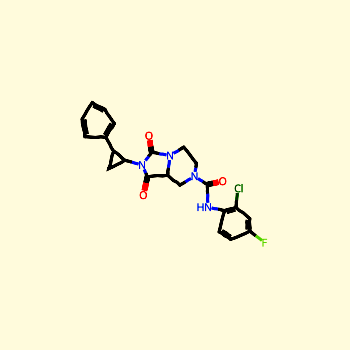 O=C(Nc1ccc(F)cc1Cl)N1CCN2C(=O)N(C3CC3c3ccccc3)C(=O)C2C1